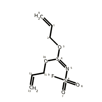 C=CCOS(=NS(=O)(=O)F)OCC=C